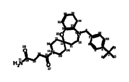 CC(C)(C)c1ccc(CN2CCC3(CCN(C(=O)CCC(N)=O)CC3)OC3=C2CCC=C3)cc1